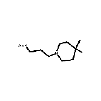 CNCCCN1CCC(C)(C)CC1